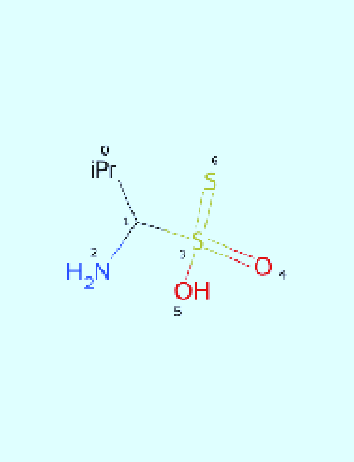 CC(C)C(N)S(=O)(O)=S